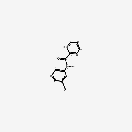 Cc1cccc(N(C)C(=O)c2ccccn2)c1